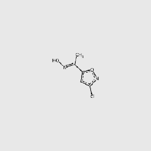 CC(=NO)c1cc(Cl)no1